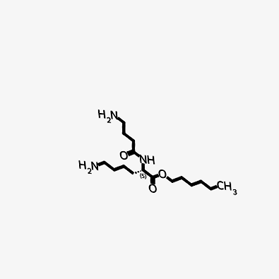 CCCCCCOC(=O)[C@H](CCCCN)NC(=O)CCCN